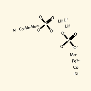 O=P([O-])([O-])[O-].O=P([O-])([O-])[O-].[Co].[Co].[Fe+3].[Li+].[LiH].[LiH].[Mn+2].[Mn].[Mn].[Ni].[Ni]